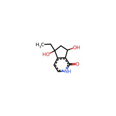 CCC1(O)CC(O)c2c1cc[nH]c2=O